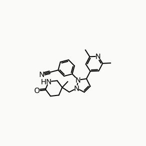 Cc1cc(C2C=CN(CC3(C)CCC(=O)NC3)N2c2cccc(C#N)c2)cc(C)n1